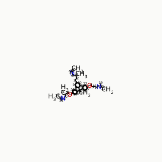 CC(CCc1ccc(C(C)(c2ccc(OCCCN3CC3C)cc2)c2ccc(OCC(C)CN3CC3C)cc2)cc1)CN1CC1C